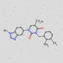 Cc1c(Cn2c(=O)c(C(=O)O)cn(-c3ccc4c(c3)ncn4C(C)C)c2=O)cccc1C(F)(F)F